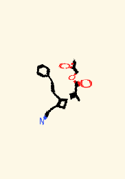 C=C(C)C(=O)OCC1CO1.N#CC1=C(C=Cc2ccccc2)CC1